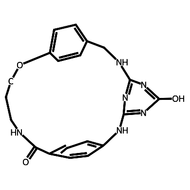 O=C1NCCCOc2ccc(cc2)CNc2nc(O)nc(n2)Nc2ccc1cc2